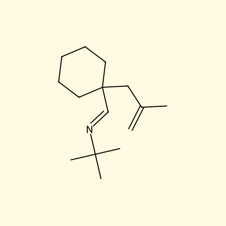 C=C(C)CC1(C=NC(C)(C)C)CCCCC1